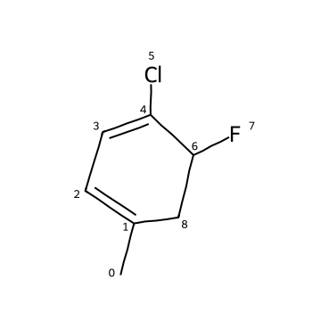 CC1=CC=C(Cl)C(F)C1